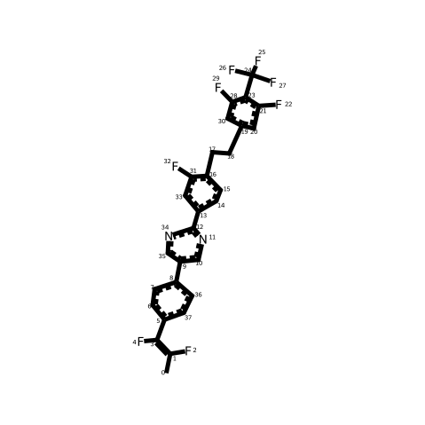 C/C(F)=C(\F)c1ccc(-c2cnc(-c3ccc(CCc4cc(F)c(C(F)(F)F)c(F)c4)c(F)c3)nc2)cc1